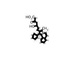 Cc1c(/C=C/C(O)CC(=O)CC(=O)O)c(-c2ccccc2)c2c3ccccc3ccn12